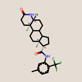 Cc1ccc(C(F)(F)F)c(NC(=O)[C@H]2CCC3C4CC[C@H]5NC(=O)CC[C@]5(C)C4CC[C@@]32C)c1